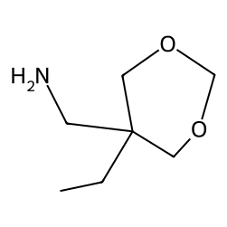 CCC1(CN)COCOC1